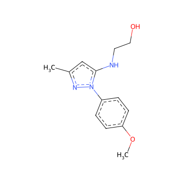 COc1ccc(-n2nc(C)cc2NCCO)cc1